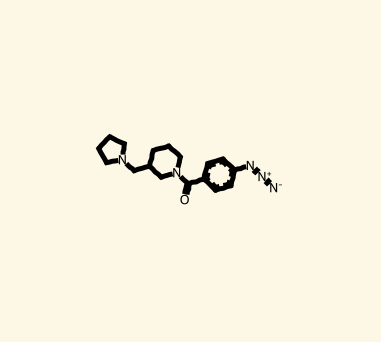 [N-]=[N+]=Nc1ccc(C(=O)N2CCCC(CN3CCCC3)C2)cc1